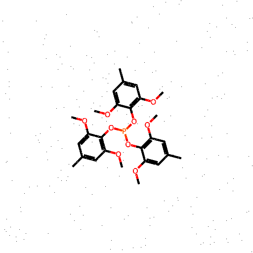 COc1cc(C)cc(OC)c1OP(Oc1c(OC)cc(C)cc1OC)Oc1c(OC)cc(C)cc1OC